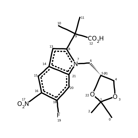 CC1(C)OC[C@@H](Cn2c(C(C)(C)C(=O)O)cc3cc([N+](=O)[O-])c(F)cc32)O1